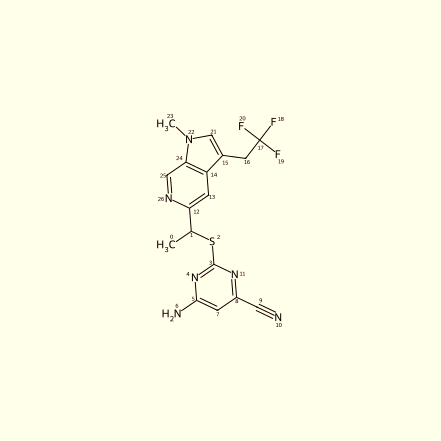 CC(Sc1nc(N)cc(C#N)n1)c1cc2c(CC(F)(F)F)cn(C)c2cn1